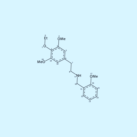 CCOc1c(OC)cc(CCNCc2ccccc2OC)cc1OC